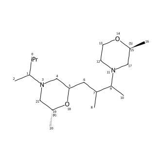 CC(C)C(C)N1CC(CC(C)C(C)N2CCO[C@@H](C)C2)O[C@H](C)C1